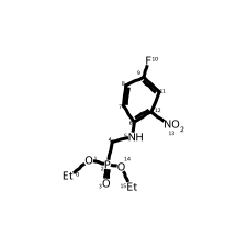 CCOP(=O)(CNc1ccc(F)cc1[N+](=O)[O-])OCC